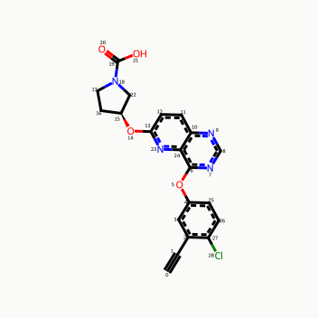 C#Cc1cc(Oc2ncnc3ccc(O[C@H]4CCN(C(=O)O)C4)nc23)ccc1Cl